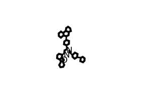 c1ccc(-c2ccc(-c3nc(-c4ccc(-c5cc6ccccc6c6ccccc56)cc4)cc(-c4cccc5c4oc4ccccc45)n3)cc2)cc1